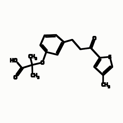 Cc1csc(C(=O)CCc2cccc(OC(C)(C)C(=O)O)c2)c1